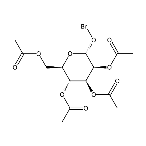 CC(=O)OC[C@H]1O[C@H](OBr)[C@@H](OC(C)=O)[C@@H](OC(C)=O)[C@@H]1OC(C)=O